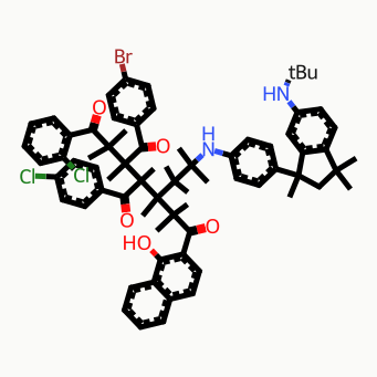 CC(C)(C)Nc1ccc2c(c1)C(C)(c1ccc(NC(C)(C)C(C)(C)C(C)(C(C)(C)C(=O)c3ccc4ccccc4c3O)C(C)(C(=O)c3ccc(Cl)cc3)C(C)(C(=O)c3ccc(Br)cc3)C(C)(C)C(=O)c3ccccc3Cl)cc1)CC2(C)C